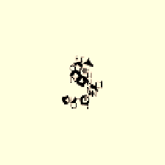 C[C@H]1C[C@H](CC(=O)N2CCC2)CN(c2ncc(Cl)c(Nc3ccc4c(c3)C3=C(CN4C)OCC(F)(F)[C@H](C4CC4)N3)n2)C1